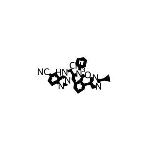 CC(Nc1ncnc2ccc(C#N)cc12)c1cc2cccc(-c3cnc(C4CC4)nc3)c2c(=O)n1-c1ccccc1